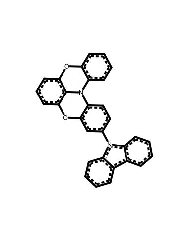 c1ccc2c(c1)Oc1cccc3c1N2c1ccc(-n2c4ccccc4c4ccccc42)cc1O3